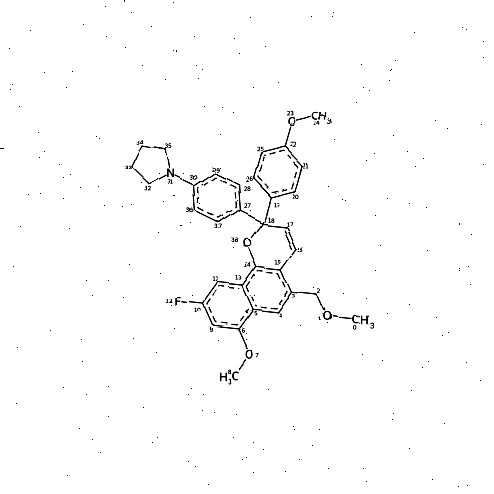 COCc1cc2c(OC)cc(F)cc2c2c1C=CC(c1ccc(OC)cc1)(c1ccc(N3CCCC3)cc1)O2